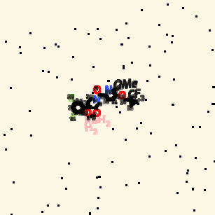 BC1(B)OC2CN(C(=O)c3ccc(OCC4(C(F)(F)F)CC4)c(OC)n3)CCC2(c2cc(F)cc(F)c2)O1